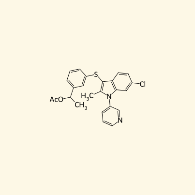 CC(=O)OC(C)c1cccc(Sc2c(C)n(-c3cccnc3)c3cc(Cl)ccc23)c1